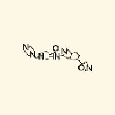 CN1CCN(CN2CCC(C(=O)Nc3cc4cc(-c5cnco5)ccc4cn3)CC2)CC1